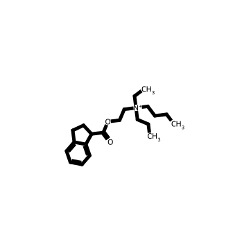 CCCC[N+](CC)(CCC)CCOC(=O)C1CCc2ccccc21